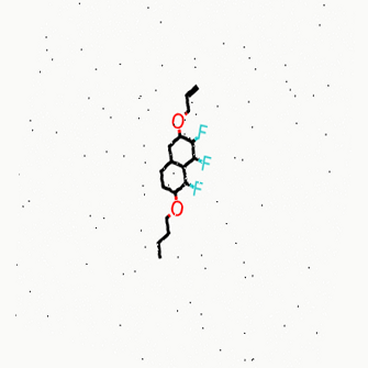 C=CCOC1CC2CCC(OCCCC)C(F)C2C(F)C1F